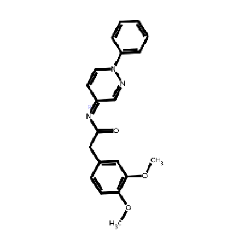 COc1ccc(CC(=O)/N=c2/ccn(-c3ccccc3)nc2)cc1OC